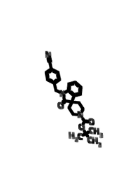 CC(C)(C)OC(=O)N1CCC2(CC1)C(=O)N(Cc1ccc(C#N)cc1)c1ccccc12